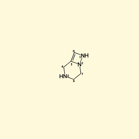 c1[nH]n2c1CNCC2